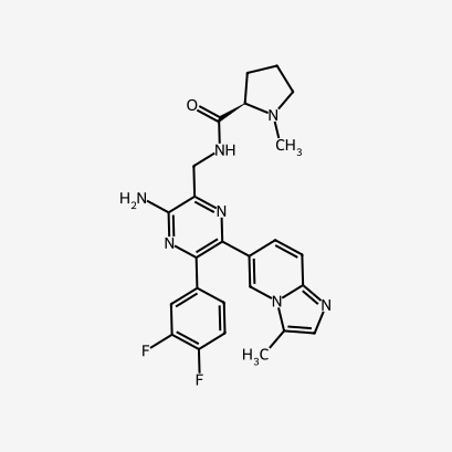 Cc1cnc2ccc(-c3nc(CNC(=O)[C@H]4CCCN4C)c(N)nc3-c3ccc(F)c(F)c3)cn12